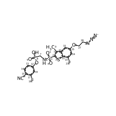 Cc1c(S(=O)(=O)NCP(=O)(O)Oc2ccc(C#N)c(F)c2)sc2c(F)cc(OCCN=[N+]=[N-])cc12